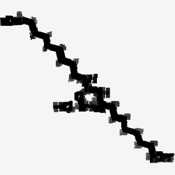 CCCCCCCCCCCCCCCCCC[NH][Ti]([NH]CCCCCCCCCCCCCCCCCC)[O]CCCCCC.Cl